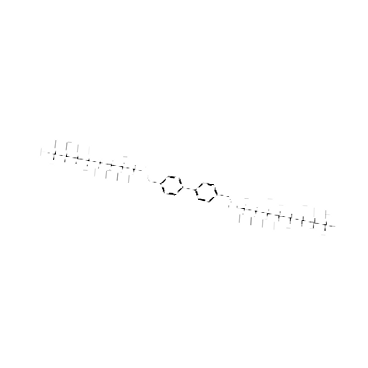 FC(F)(F)C(F)(F)C(F)(F)C(F)(F)C(F)(F)C(F)(F)C(F)(F)C(F)(F)OCc1ccc(-c2ccc(COC(F)(F)C(F)(F)C(F)(F)C(F)(F)C(F)(F)C(F)(F)C(F)(F)C(F)(F)F)cc2)cc1